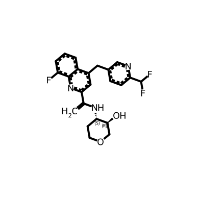 C=C(N[C@H]1CCOC[C@@H]1O)c1cc(Cc2ccc(C(F)F)nc2)c2cccc(F)c2n1